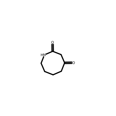 O=C1CCCCNC(=O)C1